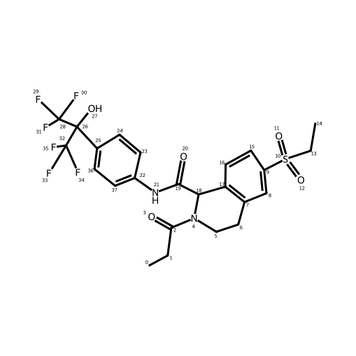 CCC(=O)N1CCc2cc(S(=O)(=O)CC)ccc2C1C(=O)Nc1ccc(C(O)(C(F)(F)F)C(F)(F)F)cc1